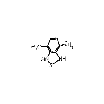 Cc1ccc(C)c2c1NSN2